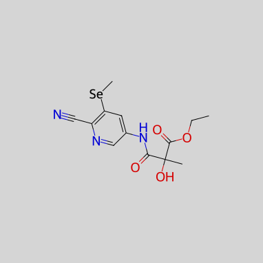 CCOC(=O)C(C)(O)C(=O)Nc1cnc(C#N)c([Se]C)c1